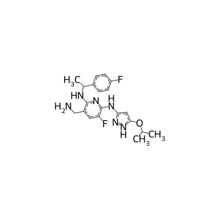 CC(C)Oc1cc(Nc2nc(NC(C)c3ccc(F)cc3)c(CN)cc2F)n[nH]1